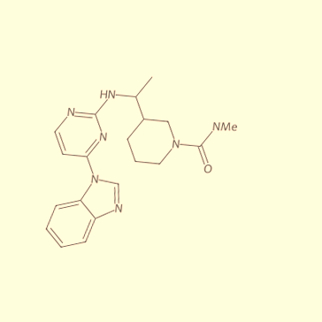 CNC(=O)N1CCCC(C(C)Nc2nccc(-n3cnc4ccccc43)n2)C1